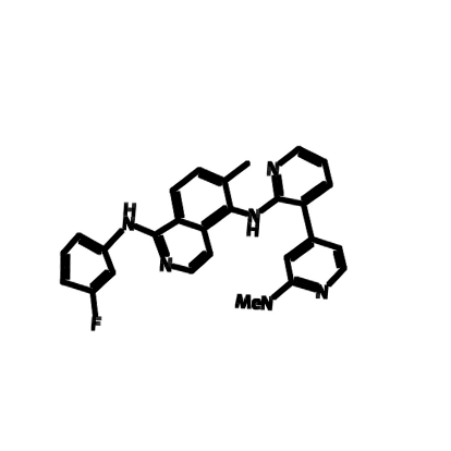 CNc1cc(-c2cccnc2Nc2c(C)ccc3c(Nc4cccc(F)c4)nccc23)ccn1